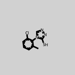 Cc1cccc(Cl)c1-n1cnnc1S